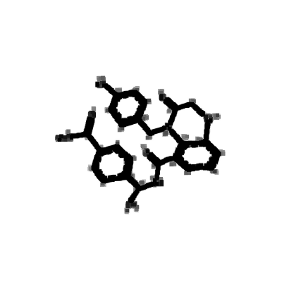 COC(=O)c1ccc([C@H](C)NC(=O)c2cccc3c2N(Cc2ccc(Cl)cc2)C(=O)CO3)cc1